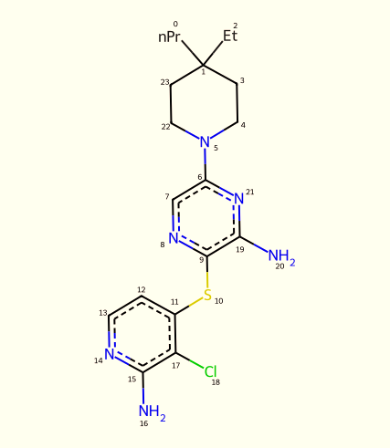 CCCC1(CC)CCN(c2cnc(Sc3ccnc(N)c3Cl)c(N)n2)CC1